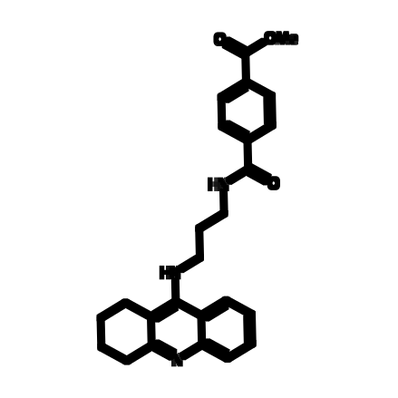 COC(=O)c1ccc(C(=O)NCCCNc2c3c(nc4ccccc24)CCCC3)cc1